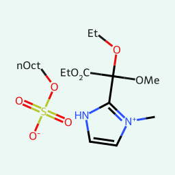 CCCCCCCCOS(=O)(=O)[O-].CCOC(=O)C(OC)(OCC)c1[nH]cc[n+]1C